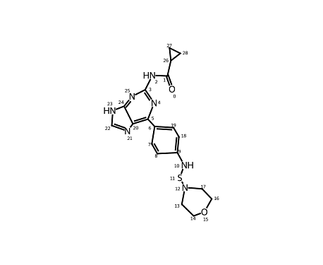 O=C(Nc1nc(-c2ccc(NSN3CCOCC3)cc2)c2nc[nH]c2n1)C1CC1